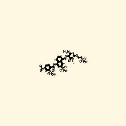 Nc1nc(SCCS(=O)(=O)O)nc(N)c1/N=N/c1cccc2c(/N=N/c3ccc([N+](=O)[O-])cc3S(=O)(=O)O)cc(S(=O)(=O)O)cc12